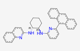 c1cc(N[C@@H]2CCCC[C@H]2Nc2ccc3ccccc3n2)nc(-c2c3ccccc3cc3ccccc23)c1